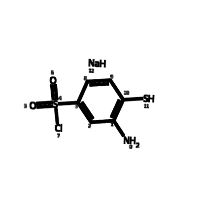 Nc1cc(S(=O)(=O)Cl)ccc1S.[NaH]